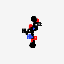 CCc1oc2ccccc2c1C[C@@H]1CCCN1C(=O)[C@@H](C)CCCNC(=O)OCc1ccccc1